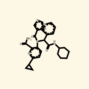 NC(=O)c1nc(C2CC2)ccc1N(C(=O)c1cnc[nH]1)C(C(=O)NC1CCCCC1)c1cccnc1